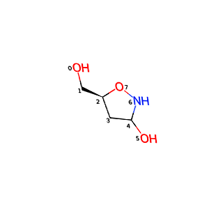 OC[C@@H]1CC(O)NO1